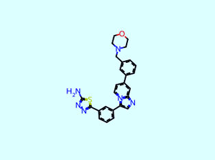 Nc1nnc(-c2cccc(-c3cnc4cc(-c5cccc(CN6CCOCC6)c5)ccn34)c2)s1